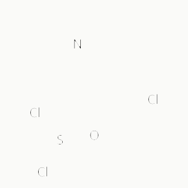 CN1CCC[C@H]1CCl.[O-][S+](Cl)Cl